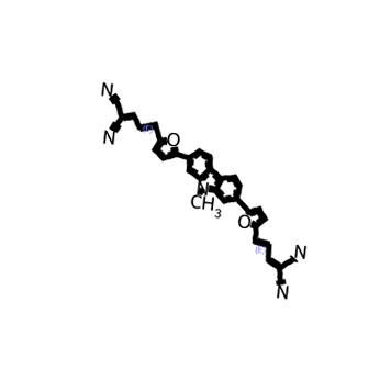 Cn1c2cc(-c3ccc(/C=C/C=C(C#N)C#N)o3)ccc2c2ccc(-c3ccc(/C=C/C=C(C#N)C#N)o3)cc21